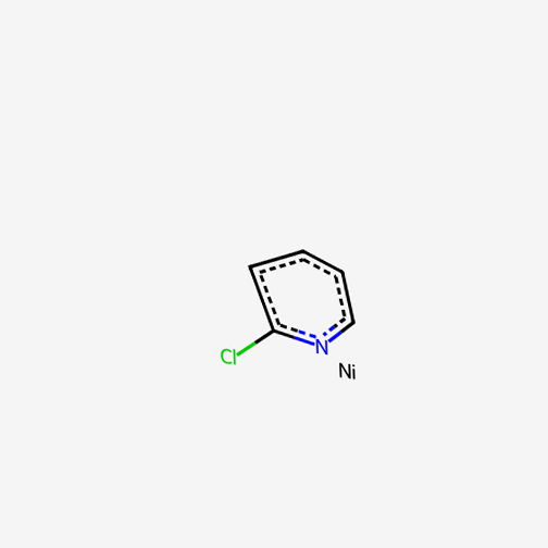 Clc1ccccn1.[Ni]